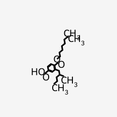 CCCCC(CC)Cc1cc(C(=O)O)ccc1C(=O)OCCCCCCC(C)C